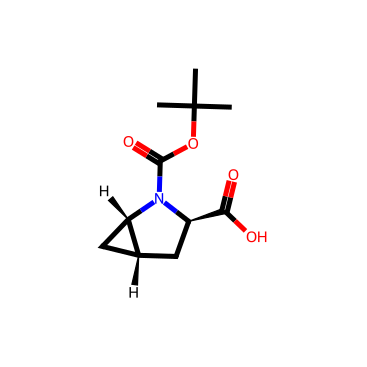 CC(C)(C)OC(=O)N1[C@@H](C(=O)O)C[C@@H]2C[C@@H]21